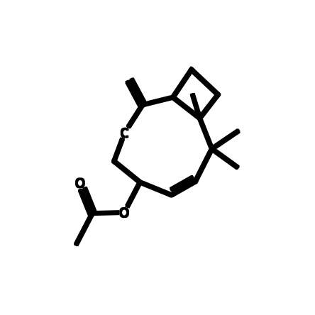 C=C1CCC(OC(C)=O)/C=C\C(C)(C)C2(C)CCC12